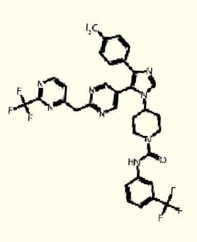 Cc1ccc(-c2ncn(C3CCN(C(=O)Nc4cccc(C(F)(F)F)c4)CC3)c2-c2cnc(Cc3ccnc(C(F)(F)F)n3)nc2)cc1